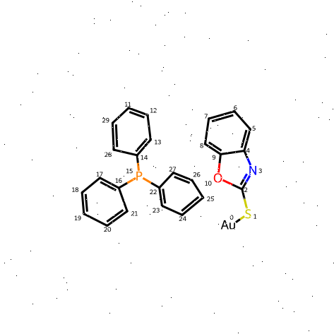 [Au][S]c1nc2ccccc2o1.c1ccc(P(c2ccccc2)c2ccccc2)cc1